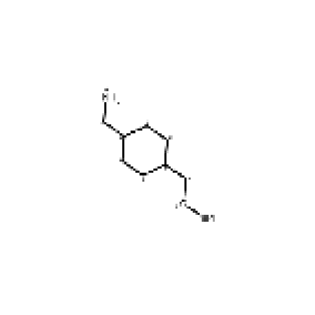 CCCOCC1CCC(CN)CC1